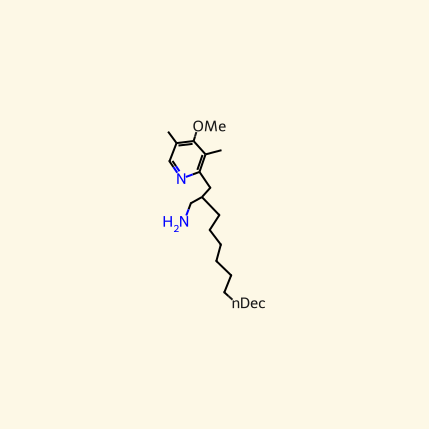 CCCCCCCCCCCCCCCCC(CN)Cc1ncc(C)c(OC)c1C